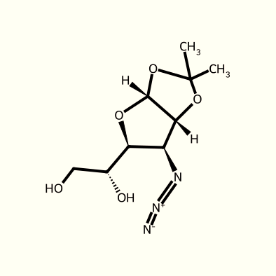 CC1(C)O[C@H]2O[C@H]([C@H](O)CO)[C@H](N=[N+]=[N-])[C@H]2O1